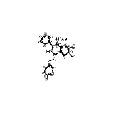 CNC(=O)[C@@H](N[C@@H](CCc1ccc(C)nc1)c1ccc(F)c(C)c1)c1ccccc1